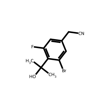 CC(C)(O)c1c(F)cc(CC#N)cc1Br